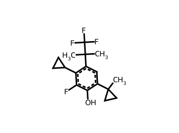 CC1(c2cc(C(C)(C)C(F)(F)F)c(C3CC3)c(F)c2O)CC1